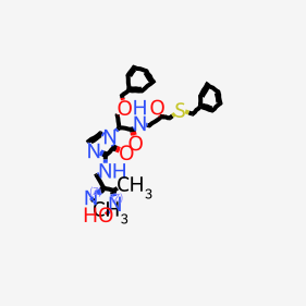 C/N=C(CNc1nccn(C(COCc2ccccc2)C(=O)NCC(=O)CSCc2ccccc2)c1=O)\C(C)=N/O